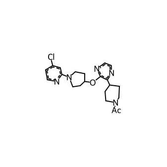 CC(=O)N1CCC(c2nccnc2OC2CCN(c3cc(Cl)ccn3)CC2)CC1